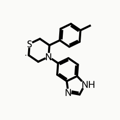 Cc1ccc(C2CS[CH]CN2c2ccc3[nH]cnc3c2)cc1